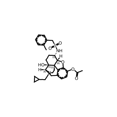 CC(=O)Oc1ccc2c3c1O[C@H]1[C@@H](NS(=O)(=O)Cc4ccccc4C)CC[C@@]4(O)[C@@H](C2)N(CC2CC2)CC[C@]314